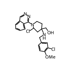 COc1ccc(CNC2(CO)CCN(c3nncc4ccccc34)C(Cl)C2)cc1Cl